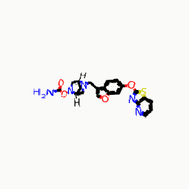 NC(=O)ON1C[C@@H]2C[C@H]1CN2Cc1coc2cc(Oc3nc4ncccc4s3)ccc12